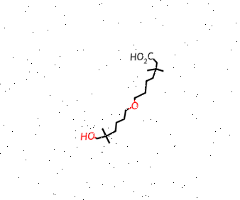 CC(C)(CO)CCCCOCCCCC(C)(C)CC(=O)O